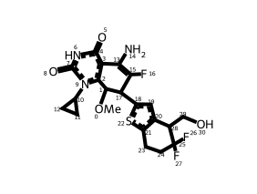 COC1c2c(c(=O)[nH]c(=O)n2C2CC2)C(N)=C(F)C1c1cc2c(s1)CCC(F)(F)C2CO